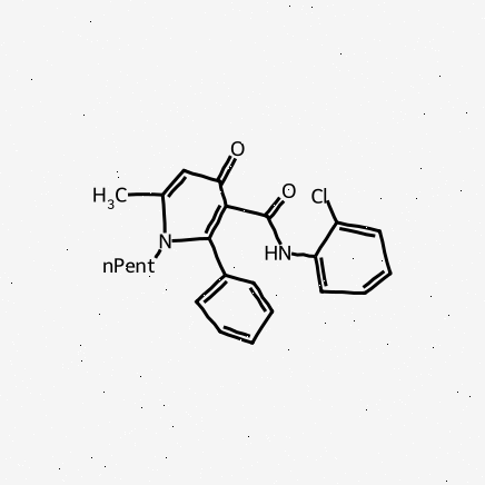 CCCCCn1c(C)cc(=O)c(C(=O)Nc2ccccc2Cl)c1-c1ccccc1